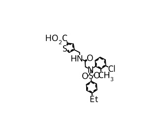 CCc1ccc(S(=O)(=O)N(CC(=O)NCc2csc(C(=O)O)c2)c2cccc(Cl)c2C)cc1